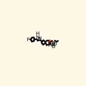 CCCN1CC2(NS1(=O)=O)C1CCC2Cc2cc(-c3cc(-c4ccc(F)cc4)[nH]n3)ccc2C1